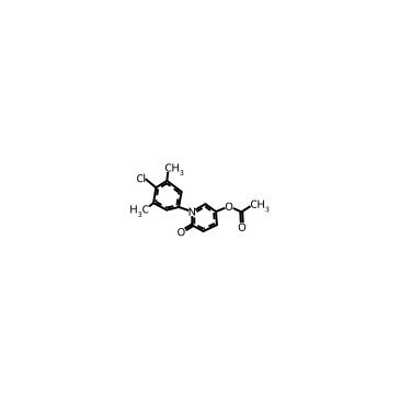 CC(=O)Oc1ccc(=O)n(-c2cc(C)c(Cl)c(C)c2)c1